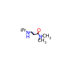 CC(C)N/C=C/C(=O)N(C)C